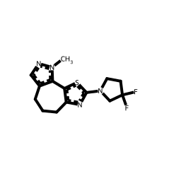 Cn1ncc2c1-c1sc(N3CCC(F)(F)C3)nc1CCC2